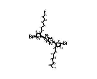 CCCCCCCCc1cc(Br)sc1-c1nc2sc(-c3sc(Br)cc3CCCCCCCC)nc2s1